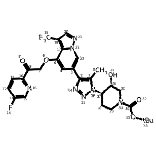 Cc1c(-c2cc(OCC(=O)c3ccc(F)cn3)c3c(C(F)(F)F)cnn3c2)nnn1[C@@H]1CCN(C(=O)OC(C)(C)C)C[C@@H]1O